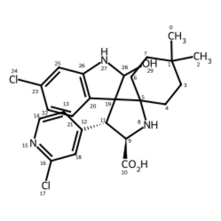 CC1(C)CCC2(CC1)N[C@@H](C(=O)O)[C@H](c1ccnc(Cl)c1)C21c2ccc(Cl)cc2NC1O